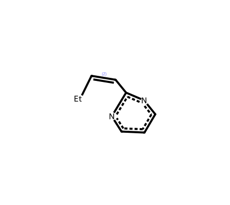 CC/C=C\c1ncccn1